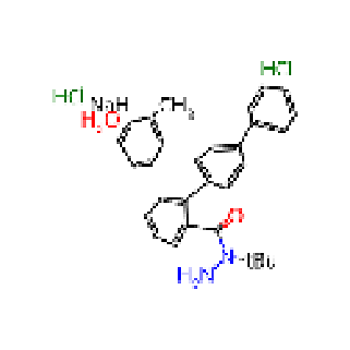 CC(C)(C)N(N)C(=O)c1ccccc1-c1ccc(-c2ccccc2)cc1.Cc1ccccc1.Cl.Cl.O.[NaH]